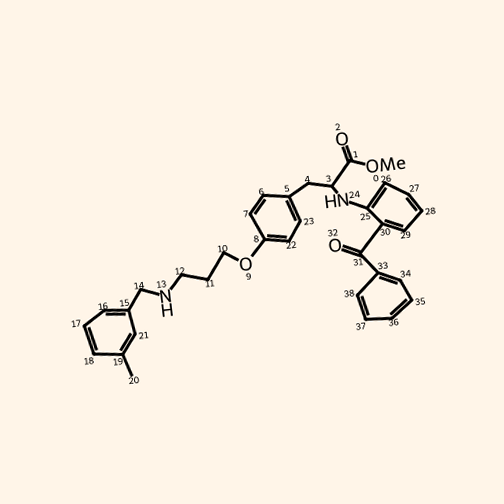 COC(=O)C(Cc1ccc(OCCCNCc2cccc(C)c2)cc1)Nc1ccccc1C(=O)c1ccccc1